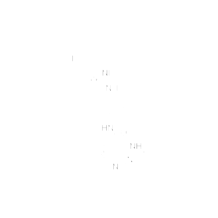 Nc1ncnc2scc(C(=O)Nc3cccc(CNC(=O)Nc4cccc(F)c4)c3)c12